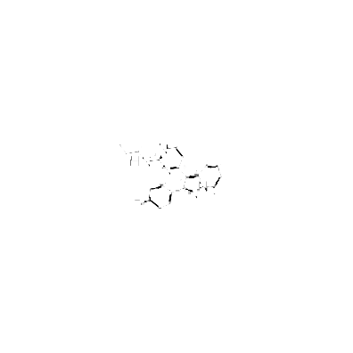 CCCNc1nccc(-c2c(-c3ccc(F)cc3)nn3ccccc23)n1